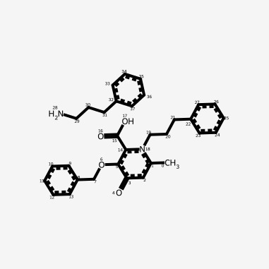 Cc1cc(=O)c(OCc2ccccc2)c(C(=O)O)n1CCCc1ccccc1.NCCCc1ccccc1